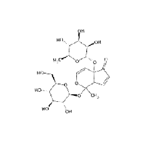 C[C@@H]1O[C@@H](OC23C=COC(C)(O[C@@H]4O[C@H](CO)[C@@H](O)[C@H](O)[C@H]4O)C2C=CC3=O)[C@H](O)[C@H](O)[C@H]1O